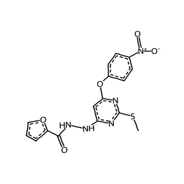 CSc1nc(NNC(=O)c2ccco2)cc(Oc2ccc([N+](=O)[O-])cc2)n1